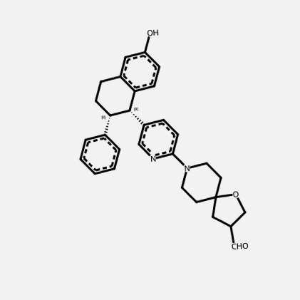 O=CC1COC2(CCN(c3ccc([C@H]4c5ccc(O)cc5CC[C@H]4c4ccccc4)cn3)CC2)C1